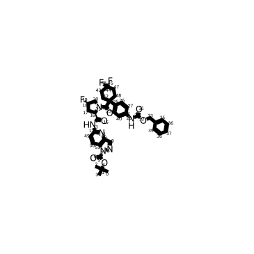 CC(C)(C)OC(=O)n1ncc2nc(NC(=O)[C@H]3C[C@@H](F)CN3C(=O)C3(c4ccc(NC(=O)OCc5ccccc5)cc4)CCC(F)(F)CC3)ccc21